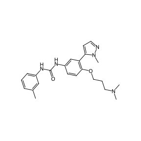 Cc1cccc(NC(=O)Nc2ccc(OCCCN(C)C)c(-c3ccnn3C)c2)c1